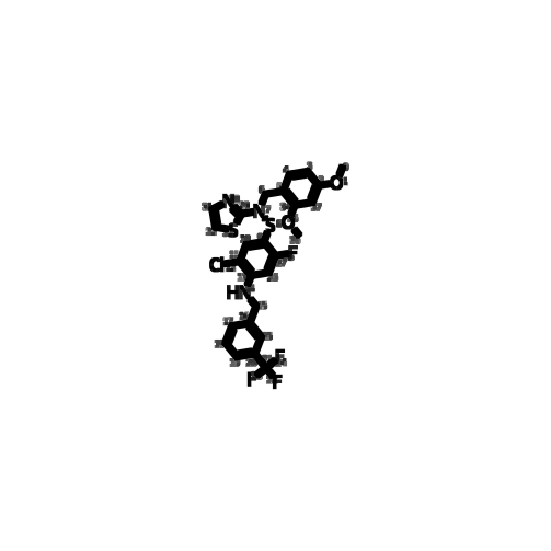 COc1ccc(CN(Sc2cc(Cl)c(NCc3cccc(C(F)(F)F)c3)cc2F)c2nccs2)c(OC)c1